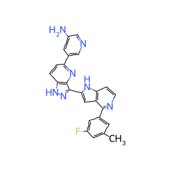 Cc1cc(F)cc(-c2nccc3[nH]c(-c4n[nH]c5ccc(-c6cncc(N)c6)nc45)cc23)c1